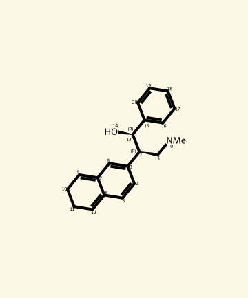 CNC[C@@H](c1ccc2c(c1)=CCCC=2)[C@@H](O)c1ccccc1